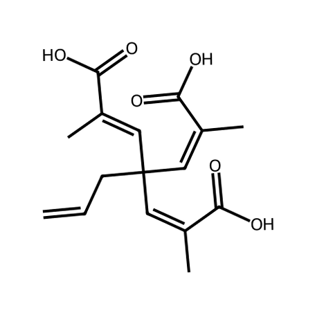 C=CCC(C=C(C)C(=O)O)(C=C(C)C(=O)O)C=C(C)C(=O)O